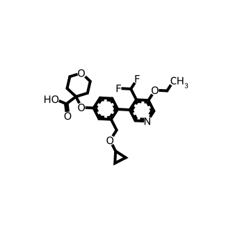 CCOc1cncc(-c2ccc(OC3(C(=O)O)CCOCC3)cc2COC2CC2)c1C(F)F